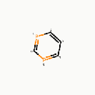 [c]1pcccp1